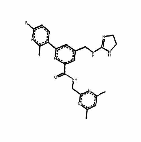 Cc1cc(C)nc(CNC(=O)c2cc(CNC3=NCCN3)cc(-c3ccc(F)nc3C)n2)n1